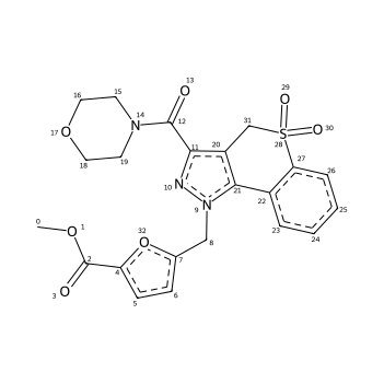 COC(=O)c1ccc(Cn2nc(C(=O)N3CCOCC3)c3c2-c2ccccc2S(=O)(=O)C3)o1